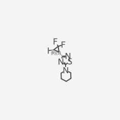 FC1(F)[C@H](I)[C@H]1c1nsc(N2CCCCC2)n1